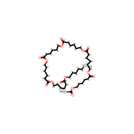 CCCCCCCCC(=O)OCCCCCC(=O)OCCCCCC(=O)OCCCCCC(=O)OCCCCCC(=O)OCCCCCC(=O)OCCCCCC(=O)OCCCCCC(=O)O